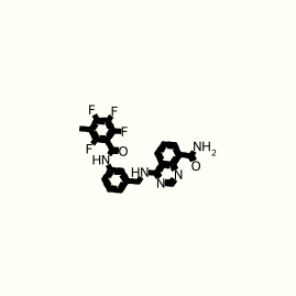 Cc1c(F)c(F)c(F)c(C(=O)Nc2cccc(CNc3ncnc4c(C(N)=O)cccc34)c2)c1F